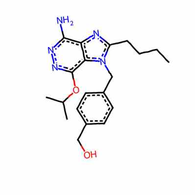 CCCCc1nc2c(N)nnc(OC(C)C)c2n1Cc1ccc(CO)cc1